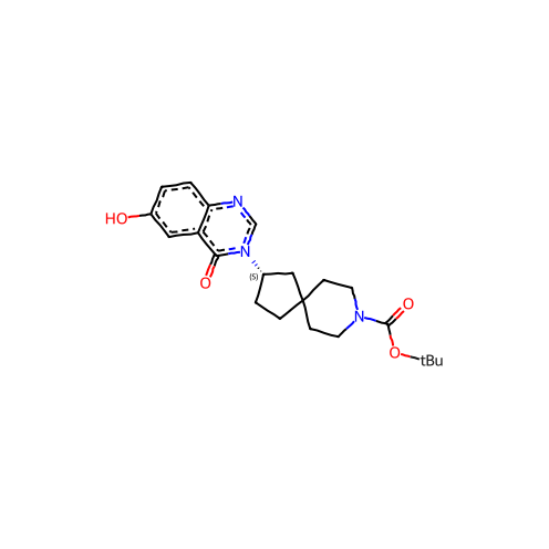 CC(C)(C)OC(=O)N1CCC2(CC[C@H](n3cnc4ccc(O)cc4c3=O)C2)CC1